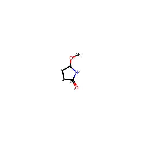 CCOC1CCC(=O)[N]1